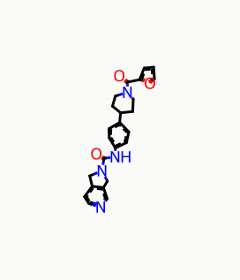 O=C(Nc1ccc(C2CCN(C(=O)c3ccco3)CC2)cc1)N1Cc2ccncc2C1